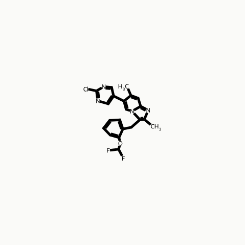 Cc1cc2nc(C)c(Cc3ccccc3OC(F)F)n2cc1-c1cnc(Cl)nc1